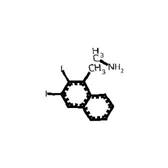 CN.Cc1c(I)c(I)cc2ccccc12